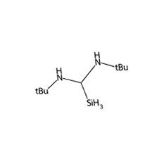 CC(C)(C)NC([SiH3])NC(C)(C)C